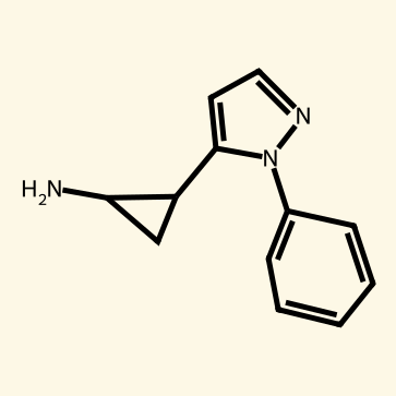 NC1CC1c1ccnn1-c1ccccc1